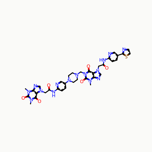 Cn1c(=O)c2c(ncn2CC(=O)Nc2ccc(N3CCN(Cn4c(=O)c5c(ncn5CC(=O)Nc5ccc(-c6nccs6)cn5)n(C)c4=O)CC3)cn2)n(C)c1=O